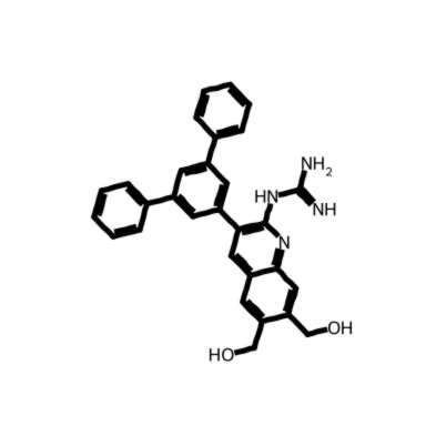 N=C(N)Nc1nc2cc(CO)c(CO)cc2cc1-c1cc(-c2ccccc2)cc(-c2ccccc2)c1